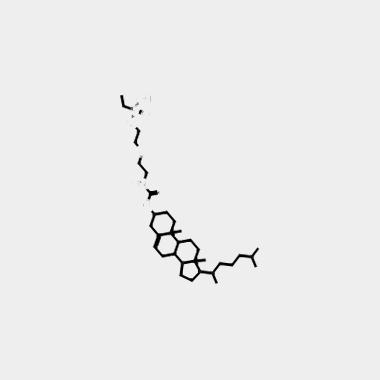 CCP(=O)(O)OCCOCCNC(=O)OC1CCC2(C)C(=CCC3C2CCC2(C)C(C(C)CCCC(C)C)CCC32)C1